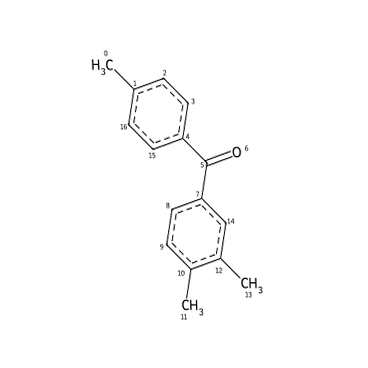 Cc1ccc(C(=O)c2ccc(C)c(C)c2)cc1